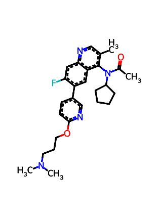 CC(=O)N(c1c(C)cnc2cc(F)c(-c3ccc(OCCCN(C)C)nc3)cc12)C1CCCC1